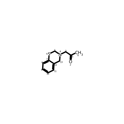 CC(=O)CN1CSc2ccccc2C1